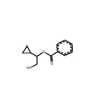 O=C(OC(CO)C1CC1)c1ccccc1